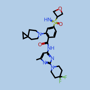 Cc1cc(NC(=O)c2ccc(S(=N)(=O)C3COC3)cc2N2CCC3(CC2)CC3)nc(N2CCC(F)(F)CC2)n1